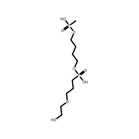 CP(=O)(O)OCCCCOP(=O)(O)CCCOCCO